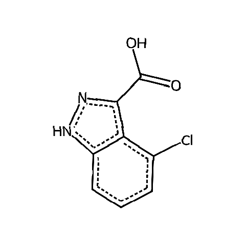 O=C(O)c1n[nH]c2cccc(Cl)c12